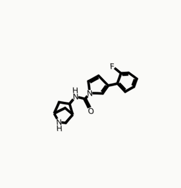 O=C(NC1CC2CC1CN2)n1ccc(-c2ccccc2F)c1